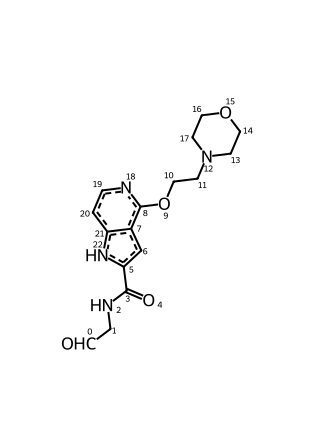 O=CCNC(=O)c1cc2c(OCCN3CCOCC3)nccc2[nH]1